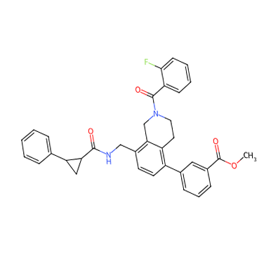 COC(=O)c1cccc(-c2ccc(CNC(=O)C3CC3c3ccccc3)c3c2CCN(C(=O)c2ccccc2F)C3)c1